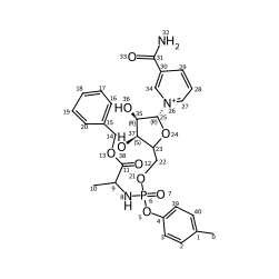 Cc1ccc(OP(=O)(NC(C)C(=O)OCc2ccccc2)OCC2O[C@@H]([n+]3cccc(C(N)=O)c3)[C@H](O)[C@@H]2O)cc1